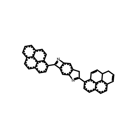 C1=Cc2ccc3ccc(C4=Nc5cc6c(cc5C4)N=C6c4ccc5ccc6cccc7ccc4c5c67)c4c3c2C(C=C4)C1